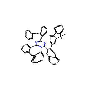 CC1(C)c2ccccc2-c2ccc(-c3cc4ccccc4cc3-c3nc(-c4ccccc4-c4ccccc4)nc(-c4ccccc4-c4ccccc4)n3)cc21